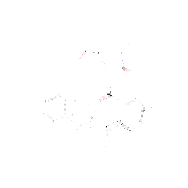 CN1CC(C(=O)O)CC1=O.O=C(O)c1ccccc1C(=O)NCc1cccnc1